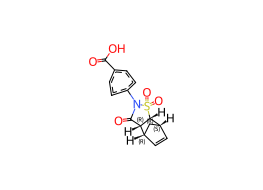 O=C(O)c1ccc(N2C(=O)[C@@H]3[C@@H]([C@@H]4C=C[C@H]3C4)S2(=O)=O)cc1